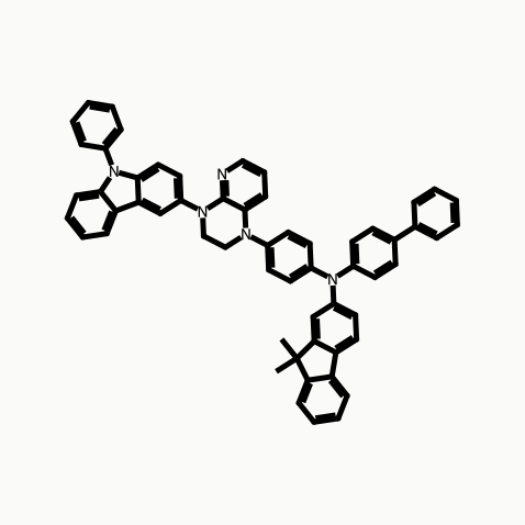 CC1(C)c2ccccc2-c2ccc(N(c3ccc(-c4ccccc4)cc3)c3ccc(N4CCN(c5ccc6c(c5)c5ccccc5n6-c5ccccc5)c5ncccc54)cc3)cc21